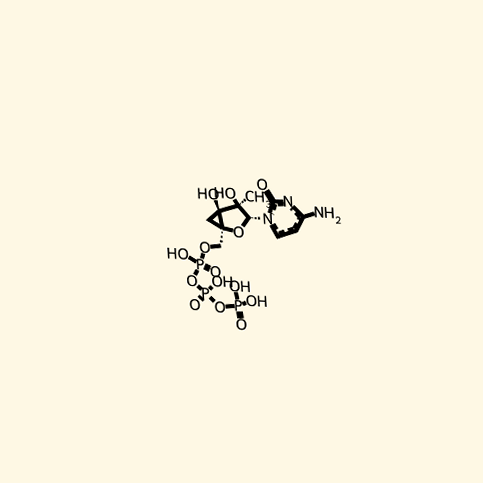 C[C@]1(O)[C@H](n2ccc(N)nc2=O)O[C@@]2(COP(=O)(O)OP(=O)(O)OP(=O)(O)O)C[C@@]21O